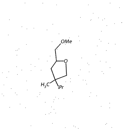 COCC1CC(C)(C(C)C)CO1